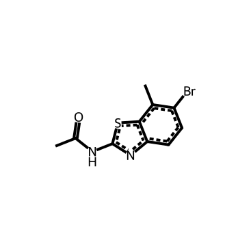 CC(=O)Nc1nc2ccc(Br)c(C)c2s1